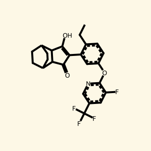 CCc1ccc(Oc2ncc(C(F)(F)F)cc2F)cc1C1=C(O)C2C3CCC(CC3)C2C1=O